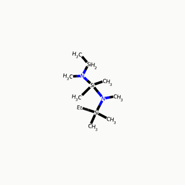 CC[Si](C)(C)N(C)[Si](C)(C)N(C)[SiH2]C